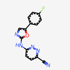 N#Cc1ccc(Nc2ncc(-c3ccc(F)cc3)o2)nn1